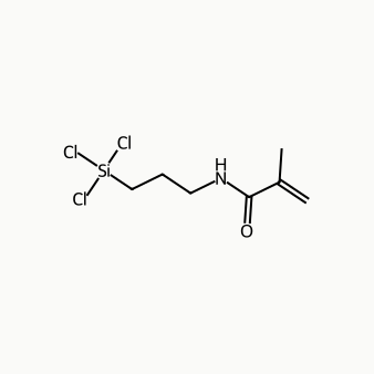 C=C(C)C(=O)NCCC[Si](Cl)(Cl)Cl